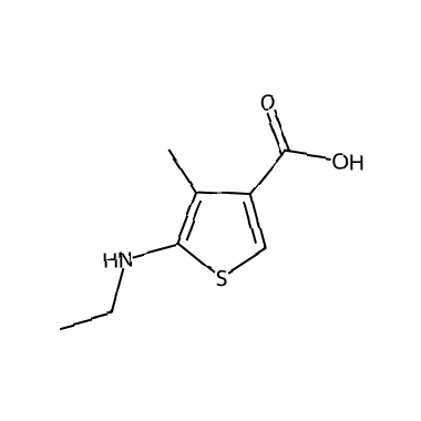 CCNc1scc(C(=O)O)c1C